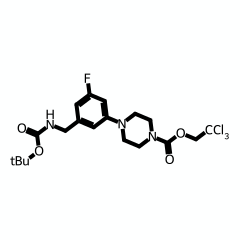 CC(C)(C)OC(=O)NCc1cc(F)cc(N2CCN(C(=O)OCC(Cl)(Cl)Cl)CC2)c1